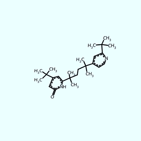 CC(C)(C)c1cc(C(C)(C)CCC(C)(C)c2ccnc(C(C)(C)C)c2)[nH]c(=O)c1